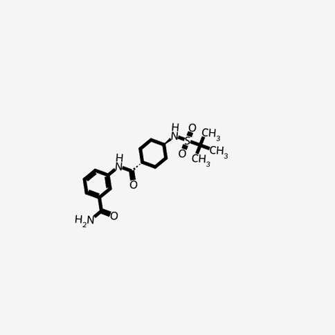 CC(C)(C)S(=O)(=O)N[C@H]1CC[C@H](C(=O)Nc2cccc(C(N)=O)c2)CC1